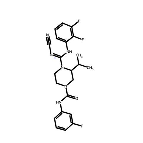 CC(C)C1CN(C(=O)Nc2cccc(F)c2)CCN1/C(=N/C#N)Nc1cccc(F)c1F